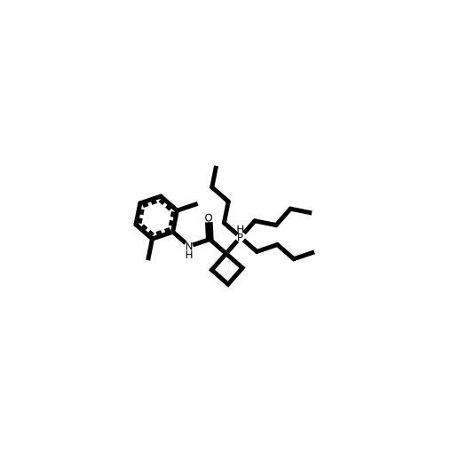 CCCC[PH](CCCC)(CCCC)C1(C(=O)Nc2c(C)cccc2C)CCC1